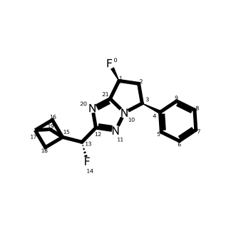 F[C@H]1C[C@@H](c2ccccc2)n2nc([C@H](F)C34CC(C3)C4)nc21